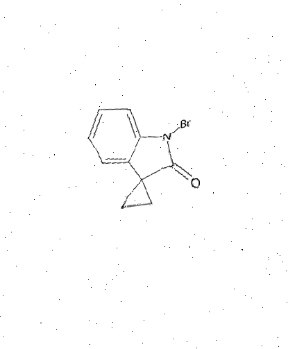 O=C1N(Br)c2ccccc2C12CC2